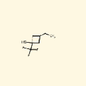 CCC1CC(O)(C(F)(F)F)C1